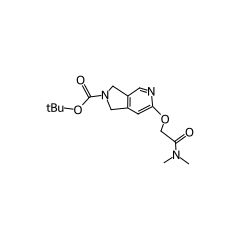 CN(C)C(=O)COc1cc2c(cn1)CN(C(=O)OC(C)(C)C)C2